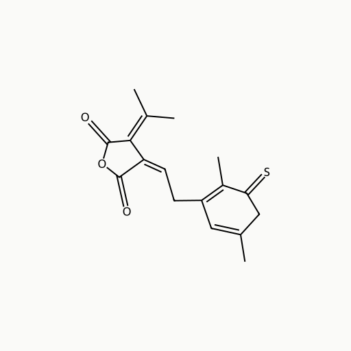 CC1=CC(CC=C2C(=O)OC(=O)C2=C(C)C)=C(C)C(=S)C1